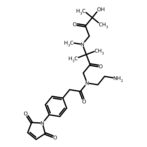 CN(CC(=O)C(C)(C)O)C(C)(C)C(=O)CN(CCN)C(=O)Cc1ccc(N2C(=O)C=CC2=O)cc1